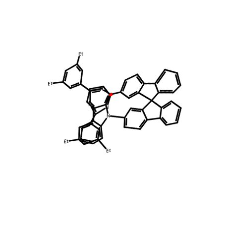 CCc1cc(CC)cc(-c2nc(-c3cc(CC)cc(CC)c3)nc(-c3ccc4c(c3)C3(c5ccccc5-4)c4ccccc4-c4ccc(-n5c6ccccc6c6ccccc65)cc43)n2)c1